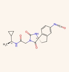 C[C@H](NC(=O)CN1C(=O)N[C@]2(CCc3cc(N=C=O)ccc32)C1=O)C1CC1